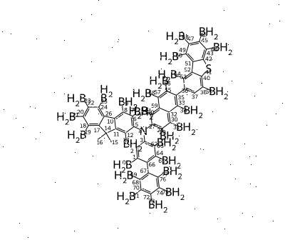 Bc1cc(N(c2c(B)c(B)c3c(c2B)C(C)(C)c2c(B)c(B)c(B)c(B)c2-3)c2c(B)c(B)c3c(B)c(-c4cc(B)c5sc6c(B)c(B)c(B)c(B)c6c5c4B)c(B)c(B)c3c2B)c(B)c(B)c1-c1c(B)c(B)c(B)c(B)c1B